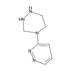 c1cnnc(N2CCNNC2)c1